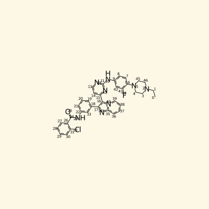 CCN1CCN(c2ccc(Nc3nccc(-c4c(-c5cccc(NC(=O)c6ccccc6Cl)c5)nc5ccccn45)n3)cc2F)CC1